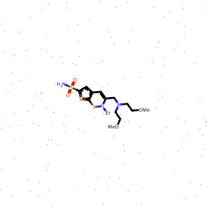 CCN1Sc2sc(S(N)(=O)=O)cc2C=C1CN(CCOC)CCOC